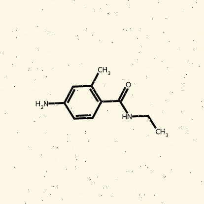 CCNC(=O)c1ccc(N)cc1C